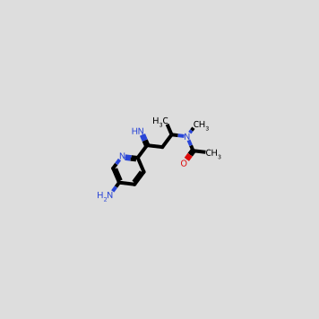 CC(=O)N(C)C(C)CC(=N)c1ccc(N)cn1